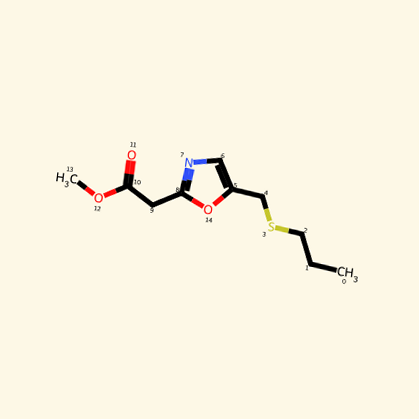 CCCSCc1cnc(CC(=O)OC)o1